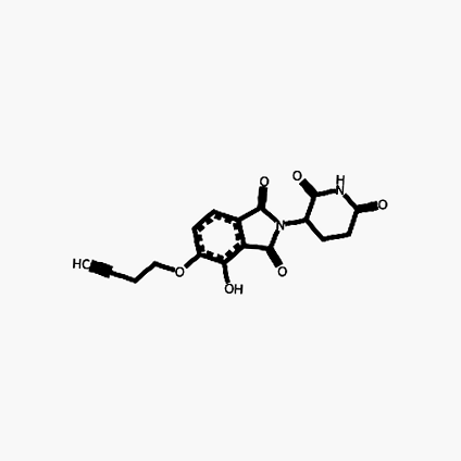 C#CCCOc1ccc2c(c1O)C(=O)N(C1CCC(=O)NC1=O)C2=O